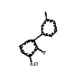 Cc1cccc(-c2cccc(N=O)c2F)c1